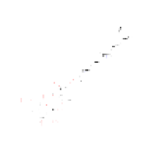 C=CC(=C)/C=C/C=C(C)/C=C/C=C(\C)COC1O[C@H](CO)[C@@H](OC2O[C@H](CO)[C@@H](O)[C@H](O)[C@H]2O)[C@H](O)[C@H]1O